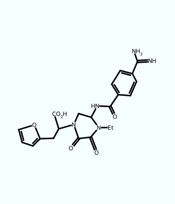 CCN1C(=O)C(=O)N(C(Cc2ccco2)C(=O)O)CC1NC(=O)c1ccc(C(=N)N)cc1